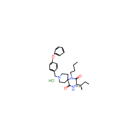 CCCCN1C(=O)[C@@H]([C@H](C)CC)NC(=O)C12CCN(Cc1ccc(Oc3ccccc3)cc1)CC2.Cl